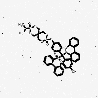 CC(C)P1(=O)OCC2(COP(=O)(Oc3ccc(C(Pc4ccccc4-c4ccccc4O)(c4ccc(O)cc4)P4(=O)Oc5ccccc5-c5ccccc54)cc3)OC2)CO1